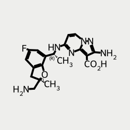 C[C@@H](Nc1ccn2nc(N)c(C(=O)O)c2n1)c1cc(F)cc2c1O[C@@](C)(CN)C2